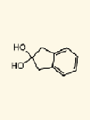 OC1(O)Cc2ccccc2C1